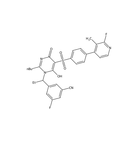 CCCCc1nc(=O)c(S(=O)(=O)c2ccc(-c3ccnc(F)c3C)cc2)c(O)n1C(CC)c1cc(F)cc(C#N)c1